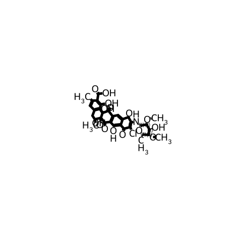 CO[C@@H]1[C@@H](O)[C@@H](OC)[C@@H](NC2=C(Cl)C(=O)c3c(cc4c(c3O)C(=O)C3(OC)C(O)Cc5cc(C)c(C(=O)O)c(O)c5C3(O)C4=O)C2=O)O[C@H]1C